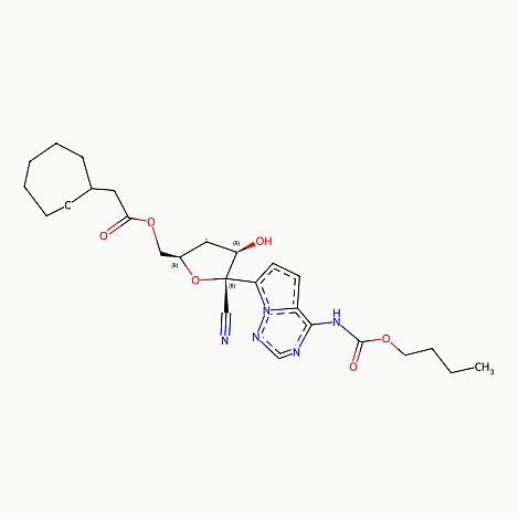 CCCCOC(=O)Nc1ncnn2c([C@]3(C#N)O[C@@H](COC(=O)CC4CCCCCC4)[CH][C@H]3O)ccc12